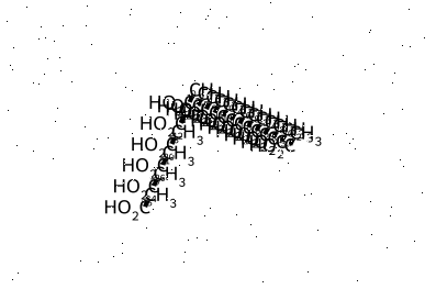 CC(=O)O.CC(=O)O.CC(=O)O.CC(=O)O.CC(=O)O.CC(=O)O.CC(=O)O.CC(=O)O.CC(=O)O.CC(=O)O.CC(=O)O.CC(=O)O.CC(=O)O.CC(=O)O.CC(=O)O.CC(=O)O.CC(=O)O.CC(=O)O